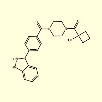 NC1(C(=O)N2CCN(C(=O)c3ccc(C4NNc5ccccc54)cc3)CC2)CCC1